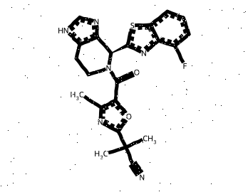 Cc1nc(C(C)(C)C#N)oc1C(=O)N1CCc2[nH]cnc2[C@H]1c1nc2c(F)cccc2s1